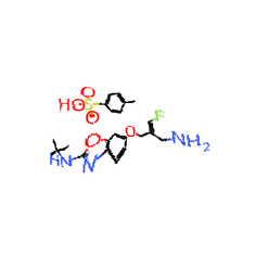 CC(C)(C)Nc1nc2ccc(OCC(=CF)CN)cc2o1.Cc1ccc(S(=O)(=O)O)cc1